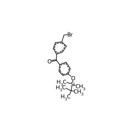 CC(C)(C)[Si](C)(C)Oc1ccc(C(=O)c2ccc(CBr)cc2)cc1